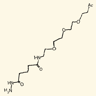 CC(=O)CCOCCOCCOCCNC(=O)CCCC(=O)NN